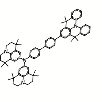 CC1(C)CCN2CCC(C)(C)c3cc(N(c4ccc(-c5ccc(-c6cc7c8c(c6)C(C)(C)c6ccccc6N8c6ccccc6C7(C)C)cc5)cc4)c4cc5c6c(c4)C(C)(C)CCN6CCC5(C)C)cc1c32